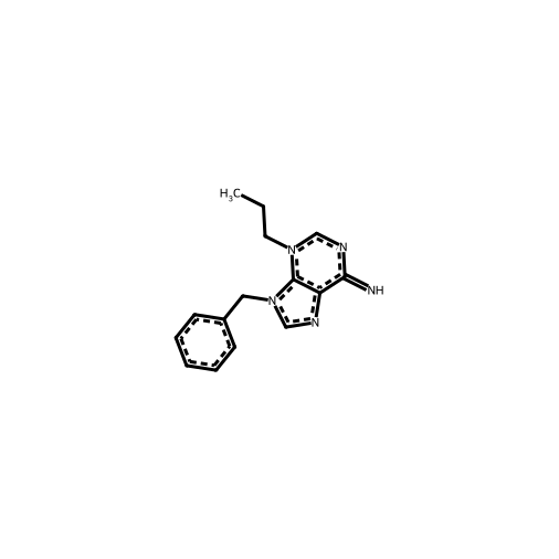 CCCn1cnc(=N)c2ncn(Cc3ccccc3)c21